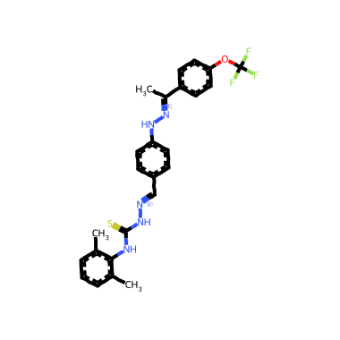 C/C(=N\Nc1ccc(/C=N/NC(=S)Nc2c(C)cccc2C)cc1)c1ccc(OC(F)(F)F)cc1